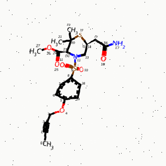 CC#CCOc1ccc(S(=O)(=O)N2C[C@H](CC(N)=O)SC(C)(C)[C@@H]2C(=O)OC)cc1